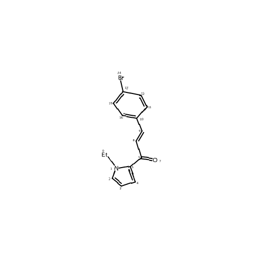 CCn1cccc1C(=O)/C=C/c1ccc(Br)cc1